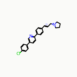 Clc1ccc(-c2ccc(-c3ccc(/C=C/CN4CCCC4)cc3)nc2)cc1